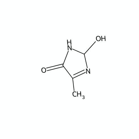 CC1=NC(O)NC1=O